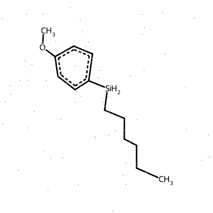 CCCCCC[SiH2]c1ccc(OC)cc1